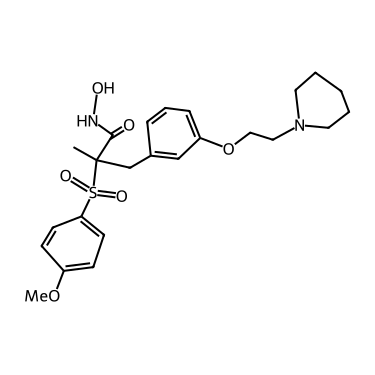 COc1ccc(S(=O)(=O)C(C)(Cc2cccc(OCCN3CCCCC3)c2)C(=O)NO)cc1